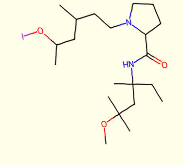 CCC(C)(CC(C)(C)OC)NC(=O)C1CCCN1CCC(C)CC(C)OI